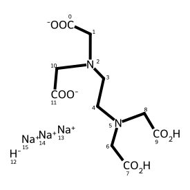 O=C([O-])CN(CCN(CC(=O)O)CC(=O)O)CC(=O)[O-].[H-].[Na+].[Na+].[Na+]